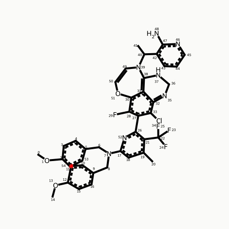 COc1ccc(CN(Cc2ccc(OC)cc2)c2cc(C)c(C(F)(F)F)c(-c3c(F)c4c5c(c3Cl)=NCNC=5N(C(C)c3cccnc3N)C=CO4)n2)cc1